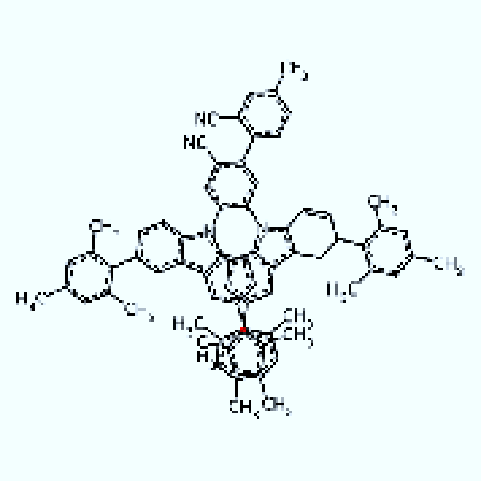 Cc1cc(C)c(-c2ccc3c(c2)c2c(n3-c3cc(-c4ccc(C(F)(F)F)cc4C#N)c(C#N)cc3-n3c4ccc(-c5c(C)cc(C)cc5C)cc4c4cc(-c5c(C)cc(C)cc5C)ccc43)C=CC(c3c(C)cc(C)cc3C)C2)c(C)c1